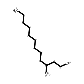 CCCCCCCCCC(C)CC[O]